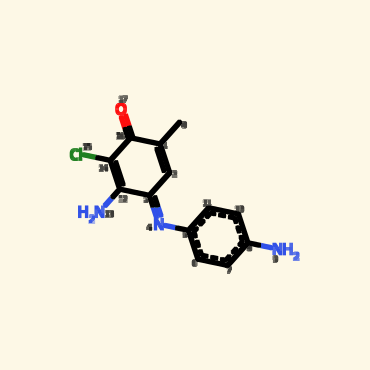 CC1=CC(=Nc2ccc(N)cc2)C(N)=C(Cl)C1=O